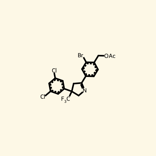 CC(=O)OCc1ccc(C2=NCC(c3cc(Cl)cc(Cl)c3)(C(F)(F)F)C2)cc1Br